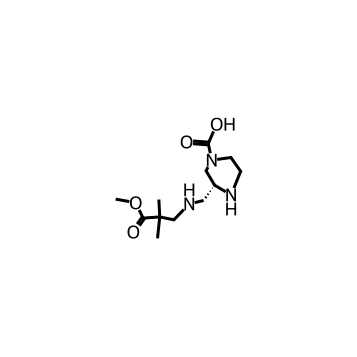 COC(=O)C(C)(C)CNC[C@@H]1CN(C(=O)O)CCN1